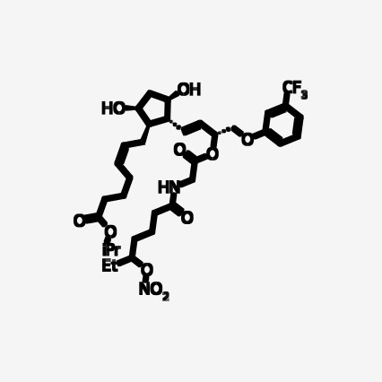 CCC(CCCC(=O)NCC(=O)O[C@H](/C=C/[C@@H]1[C@@H](C/C=C\CCCC(=O)OC(C)C)[C@@H](O)C[C@H]1O)COc1cccc(C(F)(F)F)c1)O[N+](=O)[O-]